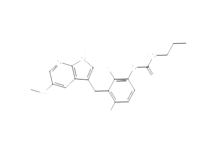 CCCNC(=O)Nc1ccc(F)c(Cc2c[nH]c3ncc(OC)cc23)c1F